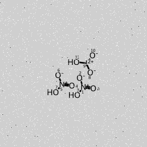 O=[N+]([O-])O.O=[N+]([O-])O.[O-][I+2]([O-])O